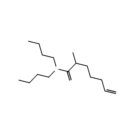 C=CCCCC(C)C(=O)N(CCCC)CCCC